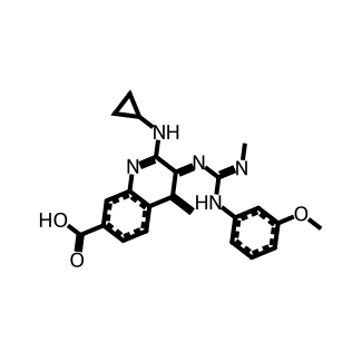 C=C1/C(=N\C(=N/C)Nc2cccc(OC)c2)C(NC2CC2)=Nc2cc(C(=O)O)ccc21